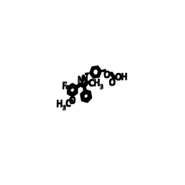 COc1cc(F)cc(-c2nn(C[C@H]3CC[C@H](COCC(=O)O)CC3)c(C)c2-c2ccccc2)c1